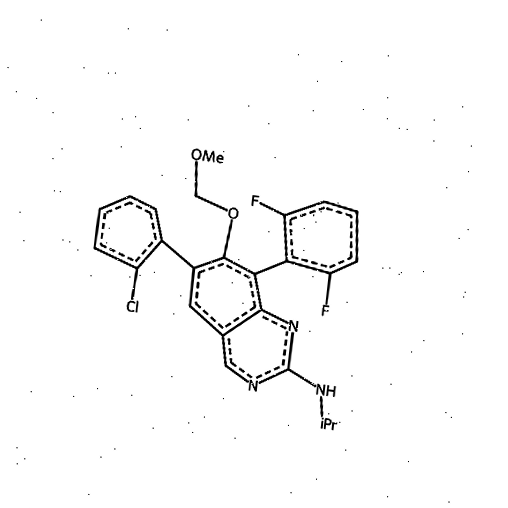 COCOc1c(-c2ccccc2Cl)cc2cnc(NC(C)C)nc2c1-c1c(F)cccc1F